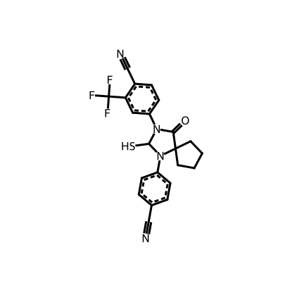 N#Cc1ccc(N2C(S)N(c3ccc(C#N)c(C(F)(F)F)c3)C(=O)C23CCCC3)cc1